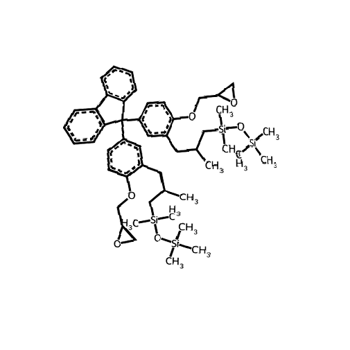 CC(Cc1cc(C2(c3ccc(OCC4CO4)c(CC(C)C[Si](C)(C)O[Si](C)(C)C)c3)c3ccccc3-c3ccccc32)ccc1OCC1CO1)C[Si](C)(C)O[Si](C)(C)C